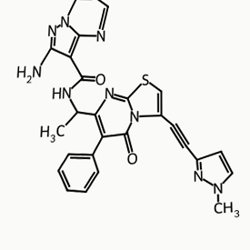 CC(NC(=O)c1c(N)nn2cccnc12)c1nc2scc(C#Cc3ccn(C)n3)n2c(=O)c1-c1ccccc1